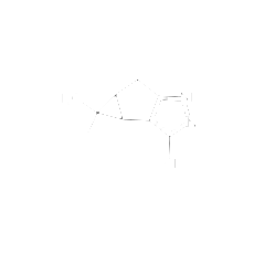 Cc1n[nH]c2c1C1C(C2)C1(C)C